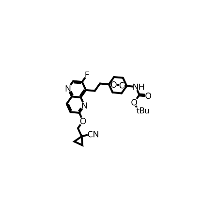 CC(C)(C)OC(=O)NC12CCC(CCc3c(F)cnc4ccc(OCC5(C#N)CC5)nc34)(CC1)OC2